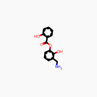 NCc1cccc(OC(=O)c2ccccc2O)c1O